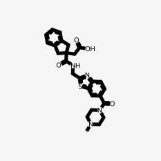 CN1CCN(C(=O)c2ccc3nc(CNC(=O)C4(CC(=O)O)Cc5ccccc5C4)sc3c2)CC1